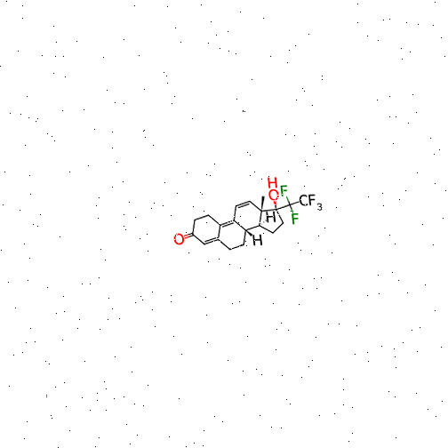 C[C@]12C=CC3=C4CCC(=O)C=C4CC[C@H]3[C@@H]1CC[C@@]2(O)C(F)(F)C(F)(F)F